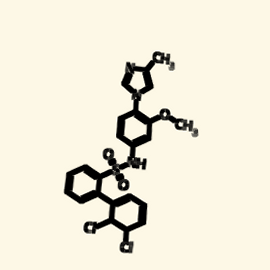 COc1cc(NS(=O)(=O)c2ccccc2C2=CC=CC(Cl)C2Cl)ccc1-n1cnc(C)c1